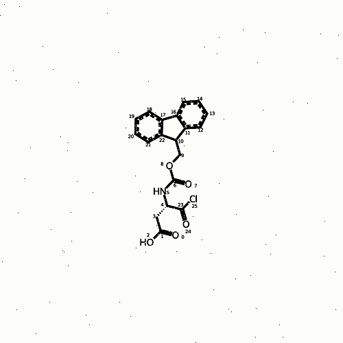 O=C(O)C[C@H](NC(=O)OCC1c2ccccc2-c2ccccc21)C(=O)Cl